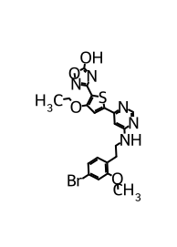 CCOc1cc(-c2cc(NCCc3ccc(Br)cc3OC)ncn2)sc1-c1noc(O)n1